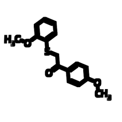 COc1ccc(C(=O)CSc2ccccc2OC)cc1